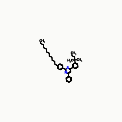 CCCCCCCCCCCCc1ccc(-c2nc(-c3ccccc3)cc(-c3cccc(C(C)(C)CCC)c3)n2)cc1